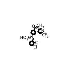 CN(C(=O)c1ccc(N(Cc2cccc(Cl)c2Cl)C(=O)O)cc1)c1ccc(C(F)(F)F)nc1